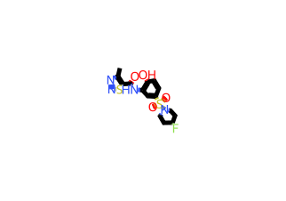 Cc1nnsc1C(=O)Nc1cc(S(=O)(=O)N2CCC(F)CC2)ccc1O